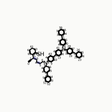 C#C/C(=C\C=C/CN(c1ccc(-c2ccc(N(c3ccc(-c4ccccc4)cc3)c3ccc(-c4ccccc4)cc3)cc2)cc1)C1C=CC(c2ccccc2)=CC1)C1=C(S)CCC=C1